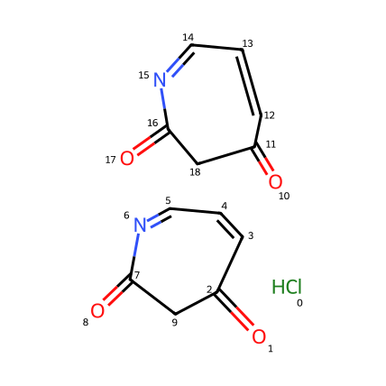 Cl.O=C1C=CC=NC(=O)C1.O=C1C=CC=NC(=O)C1